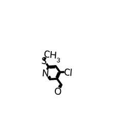 CSc1cc(Cl)c(C=O)cn1